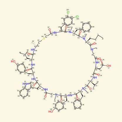 CCCC[C@H]1C(=O)N(C)CC(=O)N[C@@H](CC(=O)O)C(=O)N[C@@H](C(C)C)C(=O)N(C)[C@@H](Cc2ccccc2)C(=O)N[C@@H](Cc2ccc(O)cc2)C(=O)N(C)CC(=O)N[C@@H](Cc2c[nH]c3ccccc23)C(=O)N[C@@H](Cc2ccc(O)cc2)C(=O)N[C@@H](CC(C)C)C(=O)N[C@H](C)CSCC(=O)N[C@@H](Cc2ccc(Cl)c(Cl)c2)C(=O)N(C)[C@@H](Cc2ccccc2)C(=O)N1C